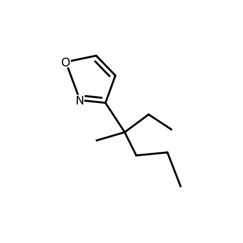 CCCC(C)(CC)c1ccon1